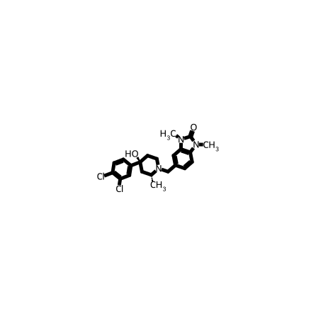 C[C@@H]1C[C@](O)(c2ccc(Cl)c(Cl)c2)CCN1Cc1ccc2c(c1)n(C)c(=O)n2C